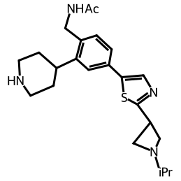 CC(=O)NCc1ccc(-c2cnc(C3CN(C(C)C)C3)s2)cc1C1CCNCC1